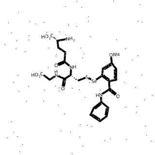 COc1ccc(C(=O)Nc2ccccc2)c([Se]SC[C@@H](NC(=O)CC[C@@H](N)C(=O)O)C(=O)NCC(=O)O)c1